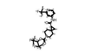 O=C(Nc1ccnc(C(F)(F)F)c1)[C@H]1CC12CCN(C(=O)OC(C(F)(F)F)C(F)(F)F)CC2